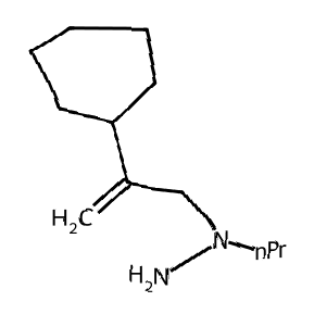 C=C(CN(N)CCC)C1CCCCC1